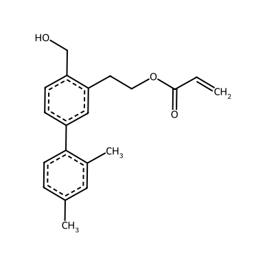 C=CC(=O)OCCc1cc(-c2ccc(C)cc2C)ccc1CO